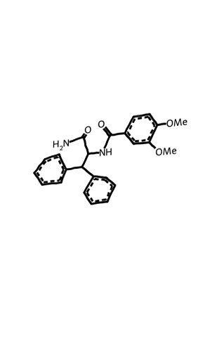 COc1ccc(C(=O)NC(C(N)=O)C(c2ccccc2)c2ccccc2)cc1OC